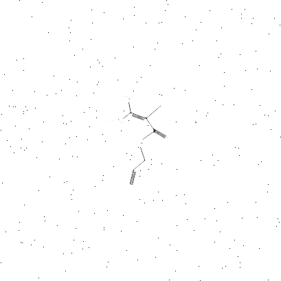 C=CCOC(=O)C(C)=C(N)N